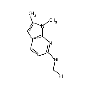 Cc1cc2ccc(NCCl)nc2n1C